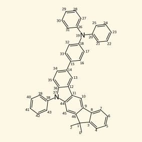 CC1(C)c2ccccc2-c2cc3c4cc(-c5ccc(N(c6ccccc6)c6ccccc6)cc5)ccc4n(-c4ccccc4)c3cc21